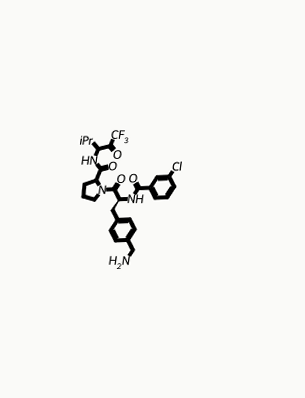 CC(C)C(NC(=O)C1CCCN1C(=O)[C@H](Cc1ccc(CN)cc1)NC(=O)c1cccc(Cl)c1)C(=O)C(F)(F)F